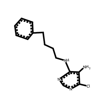 Nc1c(Cl)ncnc1NCCCCc1ccccc1